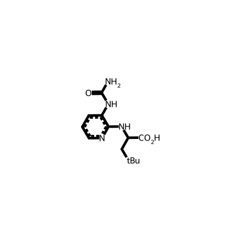 CC(C)(C)CC(Nc1ncccc1NC(N)=O)C(=O)O